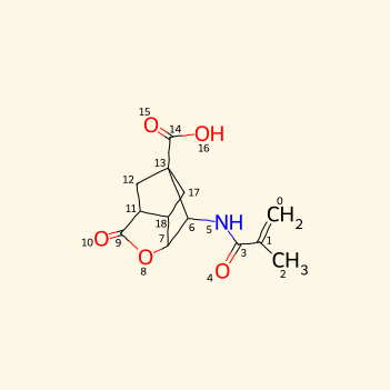 C=C(C)C(=O)NC1C2OC(=O)C3CC1(C(=O)O)CC32